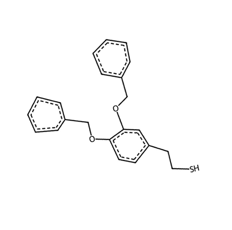 SCCc1ccc(OCc2ccccc2)c(OCc2ccccc2)c1